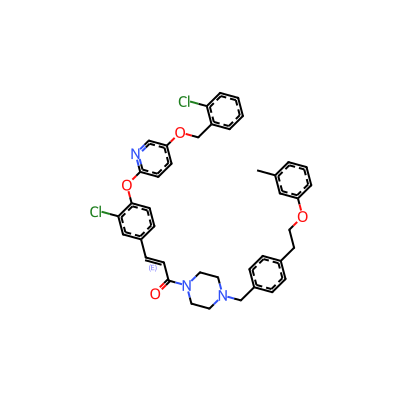 Cc1cccc(OCCc2ccc(CN3CCN(C(=O)/C=C/c4ccc(Oc5ccc(OCc6ccccc6Cl)cn5)c(Cl)c4)CC3)cc2)c1